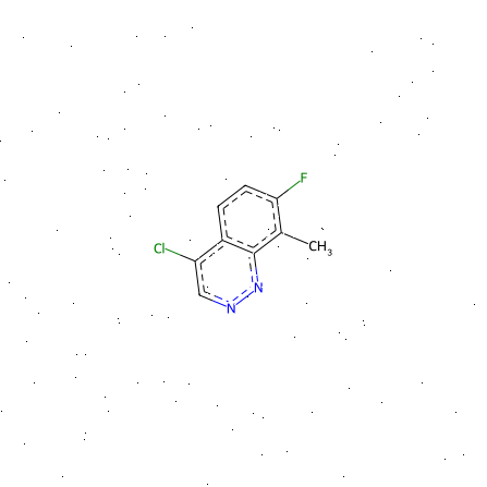 Cc1c(F)ccc2c(Cl)cnnc12